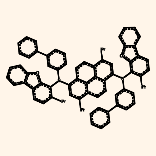 CC(C)c1ccc2c(oc3ccccc32)c1N(c1cccc(-c2ccccc2)c1)c1cc(C(C)C)c2ccc3c(N(c4cccc(-c5ccccc5)c4)c4c(C(C)C)ccc5c4oc4ccccc45)cc(C(C)C)c4ccc1c2c43